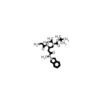 CC(C)N(CC(CC(=O)N(C)N1Cc2ccccc2C1)NC(=O)CN)C(=O)OC(C)(C)C